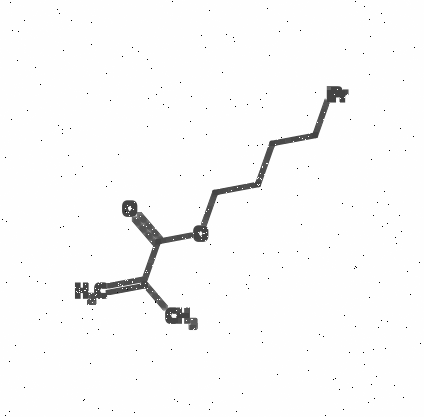 C=C(C)C(=O)OCCCCC(C)C